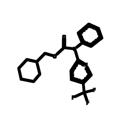 O=C(OCC1CCCCC1)N(c1ccccc1)c1ccc(C(F)(F)F)cn1